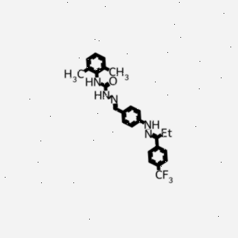 CC/C(=N\Nc1ccc(C=NNC(=O)Nc2c(C)cccc2C)cc1)c1ccc(C(F)(F)F)cc1